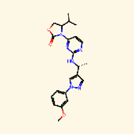 COc1cccc(-n2cc([C@@H](C)Nc3nccc(N4C(=O)OCC4C(C)C)n3)cn2)c1